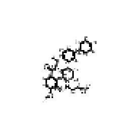 CCN(C(=O)c1ccc(OC)c(OCCCOC)c1)[C@H]1CNCC[C@@H]1c1cccc(-c2ccccc2)c1